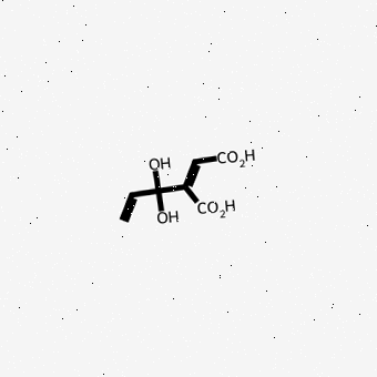 C=CC(O)(O)/C(=C/C(=O)O)C(=O)O